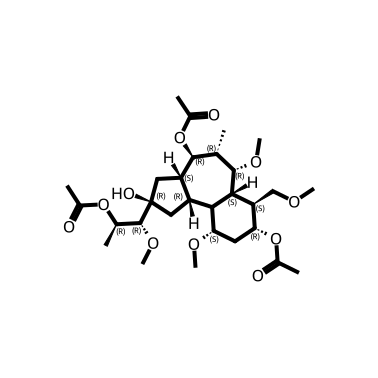 COC[C@@H]1[C@@H]2C([C@@H](OC)C[C@H]1OC(C)=O)[C@@H]1C[C@](O)([C@H](OC)[C@@H](C)OC(C)=O)C[C@@H]1[C@@H](OC(C)=O)[C@H](C)[C@@H]2OC